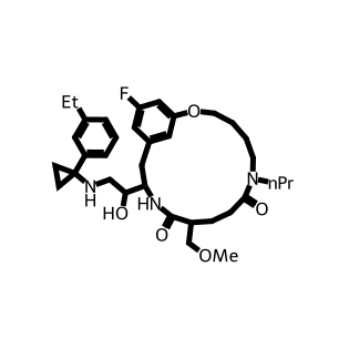 CCCN1CCCCOc2cc(F)cc(c2)CC(C(O)CNC2(c3cccc(CC)c3)CC2)NC(=O)C(COC)CCC1=O